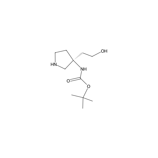 CC(C)(C)OC(=O)N[C@]1(CCO)CCNC1